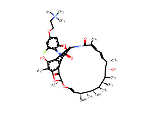 CO[C@H]1/C=C/O[C@@]2(C)Oc3c(C)c(O)c4c(=O)c(c5oc6cc(OCC[N+](C)(C)C(C)C)cc(F)c6nc-5c4c3C2=O)NC(=O)/C(C)=C\C=C\[C@H](C)[C@H](O)[C@@H](C)[C@@H](C)[C@@H](C)[C@H](OC(C)=O)[C@@H]1C